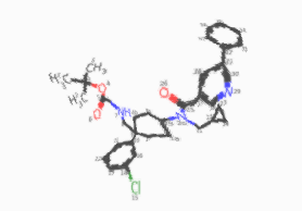 CC(C)(C)OC(=O)NCC1(c2cccc(Cl)c2)CCC(N(CC2CC2)C(=O)c2cncc(-c3ccccc3)c2)CC1